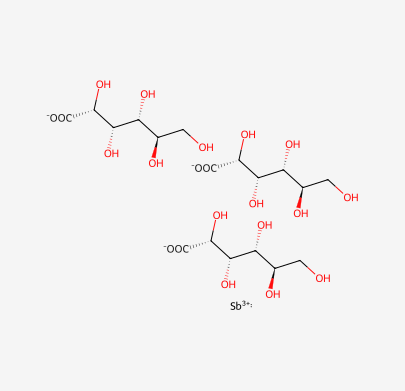 O=C([O-])[C@H](O)[C@@H](O)[C@H](O)[C@H](O)CO.O=C([O-])[C@H](O)[C@@H](O)[C@H](O)[C@H](O)CO.O=C([O-])[C@H](O)[C@@H](O)[C@H](O)[C@H](O)CO.[Sb+3]